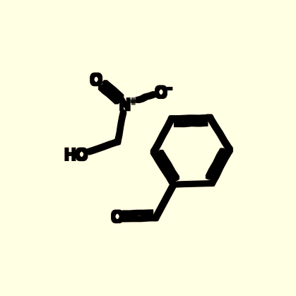 O=Cc1ccccc1.O=[N+]([O-])CO